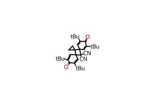 CC(C)(C)C1=CC2(C=C(C(C)(C)C)C1=O)C(C#N)(C#N)C1(C=C(C(C)(C)C)C(=O)C(C(C)(C)C)=C1)C21CC1